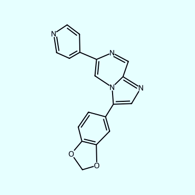 c1cc(-c2cn3c(-c4ccc5c(c4)OCO5)cnc3cn2)ccn1